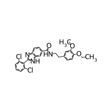 CCOc1ccc(CCNC(=O)c2ccc3nc(-c4c(Cl)cccc4Cl)[nH]c3c2)cc1OC